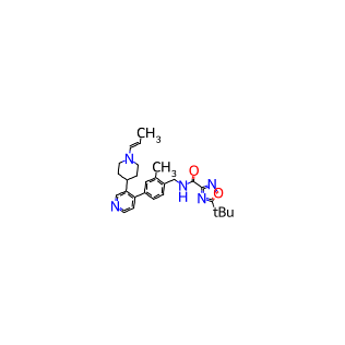 CC=CN1CCC(c2cnccc2-c2ccc(CNC(=O)c3noc(C(C)(C)C)n3)c(C)c2)CC1